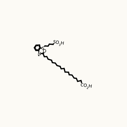 CN(C(=O)CCCCCCCCCCCCCCCCCCC(=O)O)c1ccccc1SCCCCS(=O)(=O)O